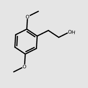 COc1ccc(OC)c(CCO)c1